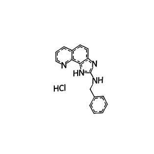 Cl.c1ccc(CNc2nc3ccc4cccnc4c3[nH]2)cc1